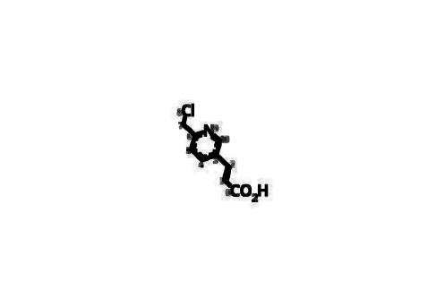 O=C(O)/C=C/c1ccc(CCl)nc1